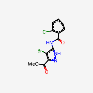 COC(=O)c1n[nH]c(NC(=O)c2ccccc2Cl)c1Br